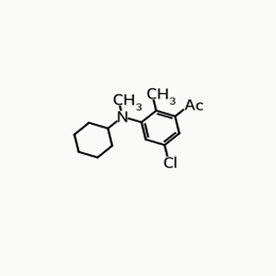 CC(=O)c1cc(Cl)cc(N(C)C2CCCCC2)c1C